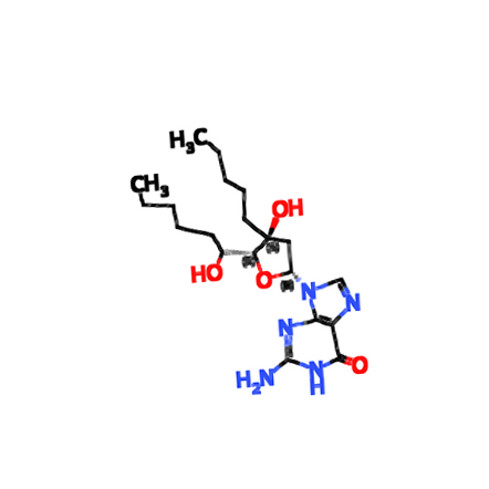 CCCCCC(O)[C@H]1O[C@@H](n2cnc3c(=O)[nH]c(N)nc32)C[C@@]1(O)CCCCC